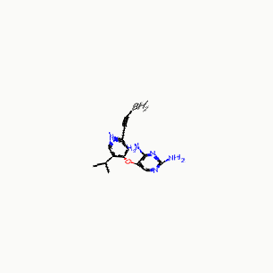 BC#Cc1cc(Oc2cnc(N)nc2N)c(C(C)C)cn1